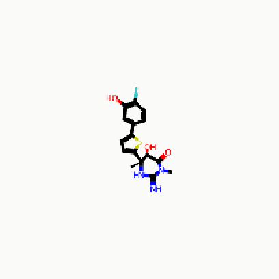 CN1C(=N)N[C@](C)(c2ccc(-c3ccc(F)c(O)c3)s2)[C@@H](O)C1=O